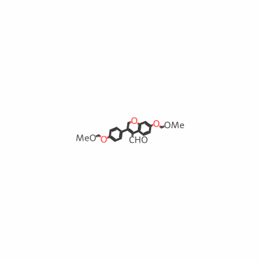 COCOc1ccc(C2=C(C=O)c3ccc(OCOC)cc3OC2)cc1